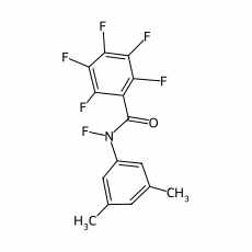 Cc1cc(C)cc(N(F)C(=O)c2c(F)c(F)c(F)c(F)c2F)c1